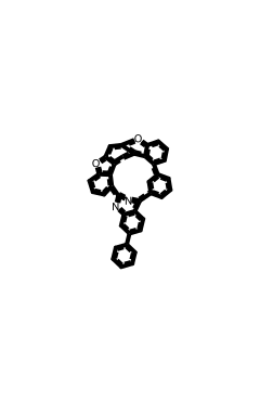 c1ccc(-c2ccc3c(c2)nc2nc3c3cccc(c3)c3cccc4oc5cc6oc7cccc2c7c6cc5c43)cc1